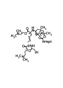 CCCCCCCC(=O)OC(C)(C)CC(C)(C)CC(=O)N[C@@H](CSSC[C@H](NC(=O)CC(C)C)C(=O)OCCN(C)C)C(=O)OCCN(C)C